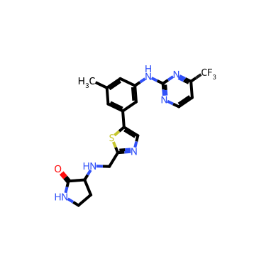 Cc1cc(Nc2nccc(C(F)(F)F)n2)cc(-c2cnc(CNC3CCNC3=O)s2)c1